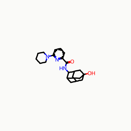 O=C(NC1C2CC3CC1CC(O)(C3)C2)c1cccc(N2CCCCC2)n1